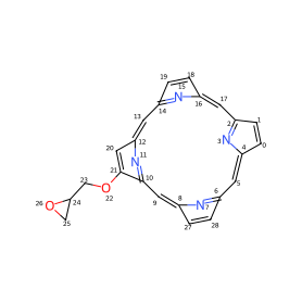 C1=CC2=NC1=CC1=NC(=CC3=NC(=CC4=NC(=C2)C=C4)C=C3OCC2CO2)C=C1